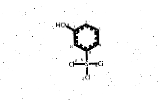 Oc1cccc(S(Cl)(Cl)Cl)c1